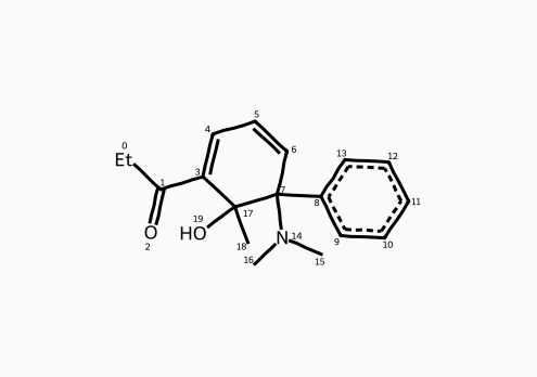 CCC(=O)C1=CC=CC(c2ccccc2)(N(C)C)C1(C)O